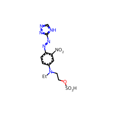 CCN(CCOS(=O)(=O)O)c1ccc(N=Nc2nnc[nH]2)c([N+](=O)[O-])c1